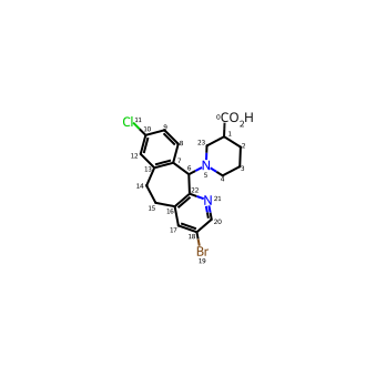 O=C(O)C1CCCN(C2c3ccc(Cl)cc3CCc3cc(Br)cnc32)C1